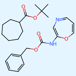 CC(C)(C)OC(=O)C1CCCCCC1.O=C(NC1=CN=CC=CO1)OCc1ccccc1